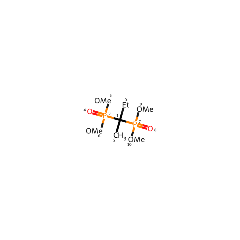 CCC(C)(P(=O)(OC)OC)P(=O)(OC)OC